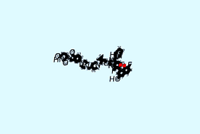 CCc1c(F)ccc2cc(O)cc(-c3c(F)cc4c(N5CC6CCC(C5)N6)nc(OCC5(CN6CCC(CN7CCN(c8ccc9c(c8)CN([C@H]8CCC(=O)NC8=O)C9=O)CC7)CC6)CC5)nc4c3F)c12